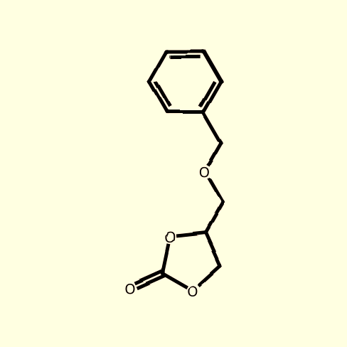 O=C1OCC(COCc2ccccc2)O1